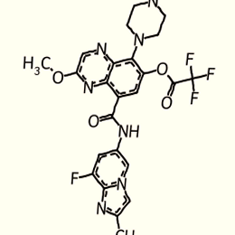 COc1cnc2c(N3CCNCC3)c(OC(=O)C(F)(F)F)cc(C(=O)Nc3cc(F)c4nc(C)cn4c3)c2n1